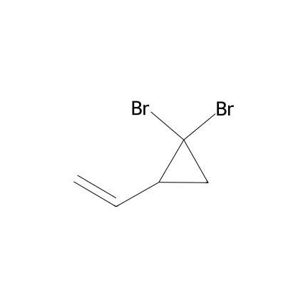 C=CC1CC1(Br)Br